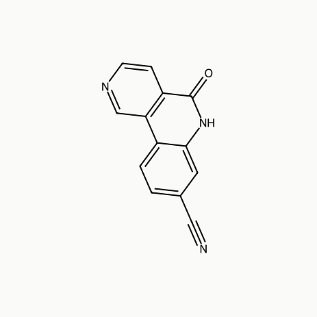 N#Cc1ccc2c(c1)[nH]c(=O)c1ccncc12